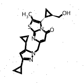 Cc1sc2nc(Cn3nc(C4CC4)cc3C3CC3)cc(=O)n2c1[C@@H]1C[C@H]1CO